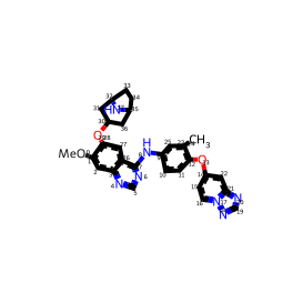 COc1cc2ncnc(Nc3ccc(Oc4ccn5ncnc5c4)c(C)c3)c2cc1OC1CC2CCC(C1)N2